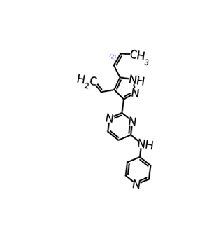 C=Cc1c(-c2nccc(Nc3ccncc3)n2)n[nH]c1/C=C\C